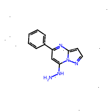 NNc1cc(-c2ccccc2)nc2ccnn12